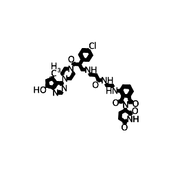 C[C@@H]1C[C@@H](O)c2ncnc(N3CCN(C(=O)C(CNCCC(=O)NCCNc4cccc5c4C(=O)N(C4CCC(=O)NC4=O)C5=O)c4ccc(Cl)cc4)CC3)c21